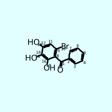 O=C(c1ccccc1)c1c(Br)cc(O)c(O)c1O